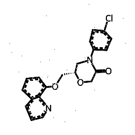 O=C1CO[C@H](COc2cccc3cccnc23)CN1c1ccc(Cl)cc1